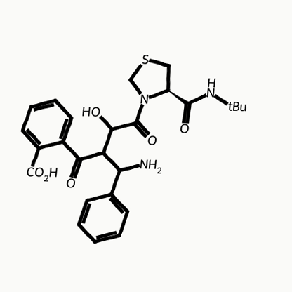 CC(C)(C)NC(=O)[C@@H]1CSCN1C(=O)C(O)C(C(=O)c1ccccc1C(=O)O)C(N)c1ccccc1